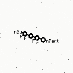 CCCCCC1CC=C(c2ccc(-c3ccc(-c4ccc(CCCC)c(F)c4F)cc3)c(F)c2F)CC1